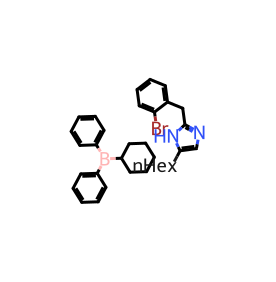 CCCCCCc1cnc(Cc2ccccc2Br)[nH]1.c1ccc(B(c2ccccc2)C2CCCCC2)cc1